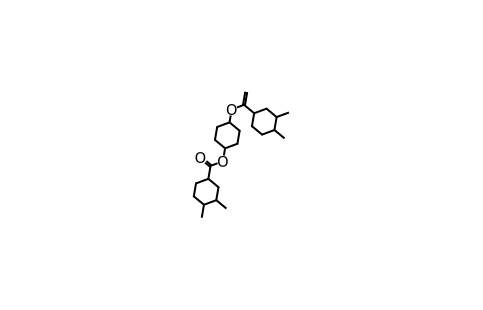 C=C(OC1CCC(OC(=O)C2CCC(C)C(C)C2)CC1)C1CCC(C)C(C)C1